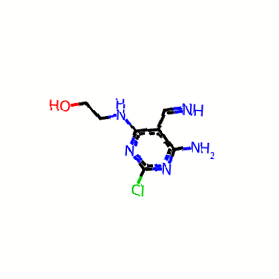 N=Cc1c(N)nc(Cl)nc1NCCO